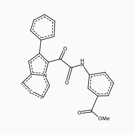 COC(=O)c1cccc(NC(=O)C(=O)c2c(-c3ccccc3)cc3ccccn23)c1